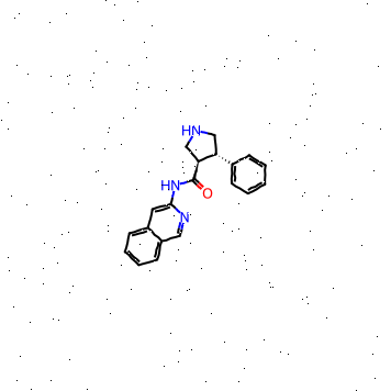 O=C(Nc1cc2ccccc2cn1)[C@H]1CNC[C@@H]1c1ccccc1